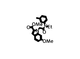 CCN(C(=O)Cn1c(C(=O)OC)cc2ccc(OC)cc21)c1cccc(C)c1